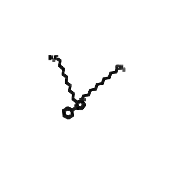 CCCCCCCCCCCc1n(-c2ccccc2)cc[n+]1CCCCCCCCCCC